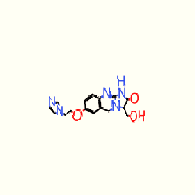 O=C1NC2=Nc3ccc(OCCn4ccnc4)cc3CN2C1CO